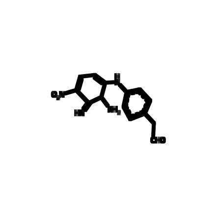 N=C1C([N+](=O)[O-])=CC=C(Nc2ccc(CC=O)cc2)C1N